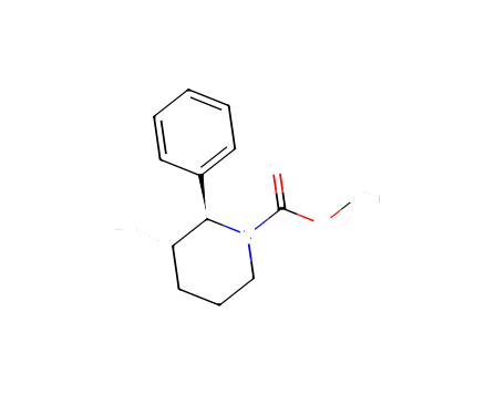 CCCCOC(=O)N1CCC[C@H](O)[C@H]1c1ccccc1